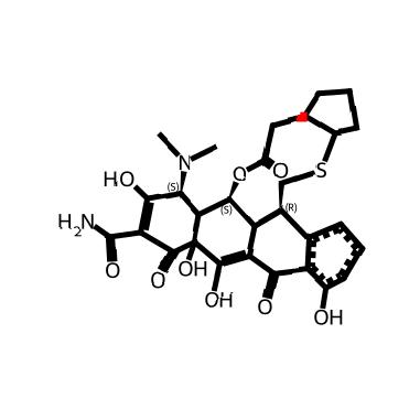 CCC(=O)O[C@H]1C2C(=C(O)C3(O)C(=O)C(C(N)=O)=C(O)[C@@H](N(C)C)C13)C(=O)c1c(O)cccc1[C@@H]2CSC1CCCC1